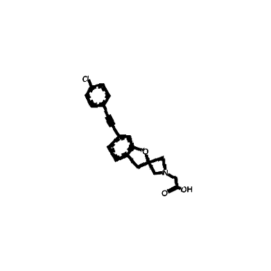 O=C(O)CN1CC2(Cc3ccc(C#Cc4ccc(Cl)cc4)cc3O2)C1